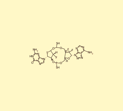 Nc1nc2c(ncn2[C@@H]2SC3OC(S)OC[C@@H]4[C@@H](COP(S)O[C@@H]2[C@H]3F)O[C@@H](n2nnc3c(N)ncnc32)C4(F)F)c(=O)[nH]1